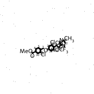 COC(=O)c1ccc(COc2ccc(C(C)C(O)(c3cnc(C)cn3)C(F)(F)F)c(Cl)c2)c(Cl)c1